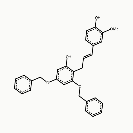 COc1cc(C=CCc2c(O)cc(OCc3ccccc3)cc2OCc2ccccc2)ccc1O